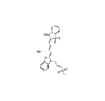 O=C1C(=CC=CC=C2Sc3ccccc3N2CCCS(=O)(=O)[O-])S(=O)(=O)c2ccccc21.[Na+]